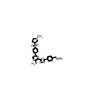 CNCc1ccc(-c2nnc(-c3nc(-c4ccc(S(=O)(=O)C5CCN(C)C5)cc4)cnc3N)o2)cc1